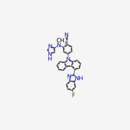 CN(c1c[nH]cn1)c1cc(-n2c3ccccc3c3c(-c4nc5ccc(F)cc5[nH]4)cccc32)ccc1C#N